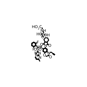 C#CCN1C(=O)COc2cc(F)c(N3C(=O)C4=C(CCCC4)C3=O)cc21.Cc1ccn2nc(S(=O)(=O)Nc3c(F)cccc3F)nc2n1.O=C(O)CNCP(=O)(O)O